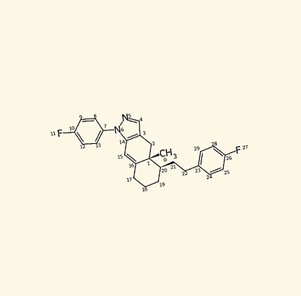 C[C@]12Cc3cnn(-c4ccc(F)cc4)c3C=C1CCC[C@@H]2CCc1ccc(F)cc1